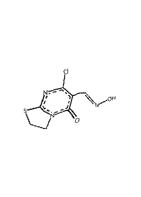 O=c1c(C=NO)c(Cl)nc2n1CCS2